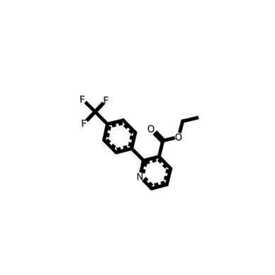 CCOC(=O)c1cccnc1-c1ccc(C(F)(F)F)cc1